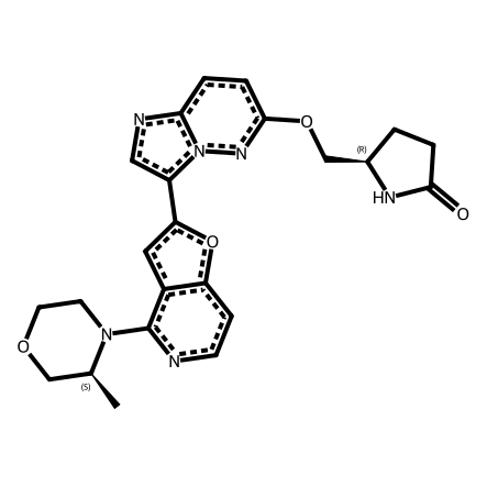 C[C@H]1COCCN1c1nccc2oc(-c3cnc4ccc(OC[C@H]5CCC(=O)N5)nn34)cc12